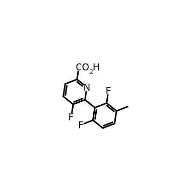 Cc1ccc(F)c(-c2nc(C(=O)O)ccc2F)c1F